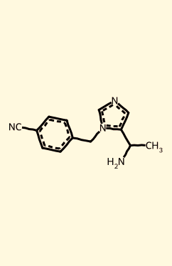 CC(N)c1cncn1Cc1ccc(C#N)cc1